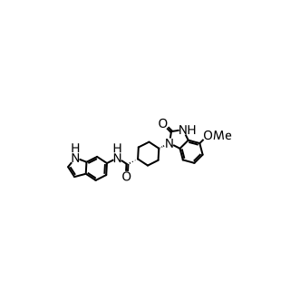 COc1cccc2c1[nH]c(=O)n2[C@H]1CC[C@@H](C(=O)Nc2ccc3cc[nH]c3c2)CC1